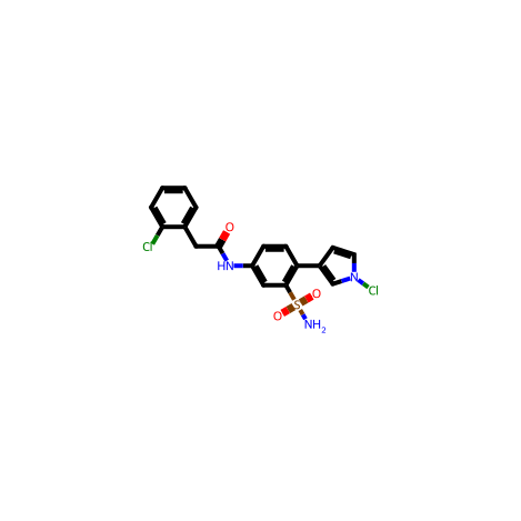 NS(=O)(=O)c1cc(NC(=O)Cc2ccccc2Cl)ccc1-c1ccn(Cl)c1